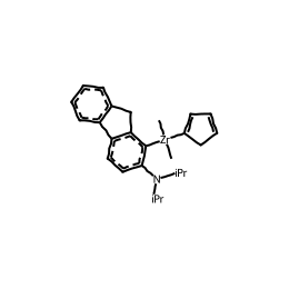 CC(C)N(c1ccc2c([c]1[Zr]([CH3])([CH3])[C]1=CC=CC1)Cc1ccccc1-2)C(C)C